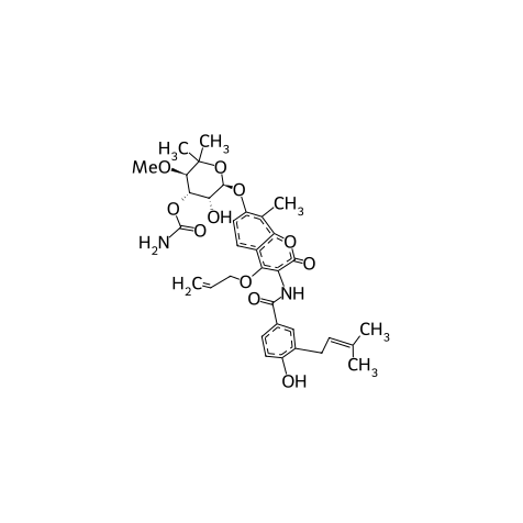 C=CCOc1c(NC(=O)c2ccc(O)c(CC=C(C)C)c2)c(=O)oc2c(C)c(O[C@@H]3OC(C)(C)[C@H](OC)[C@@H](OC(N)=O)[C@H]3O)ccc12